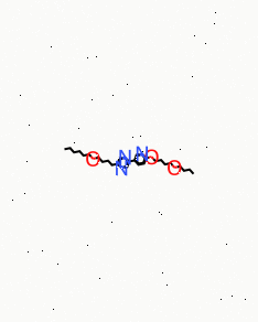 CCCCCCOCCCCc1cnc(-c2ccc(OCCCCOCCCC)nc2)cn1